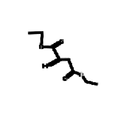 CCOC(=O)CC(=P)C(=O)OCC